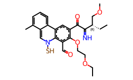 CCOCCOc1c(C(=O)C(=N)[C@@H](CC)COC)cc2c(c1C=O)N(S)C=C1C2=C=CC=C1C